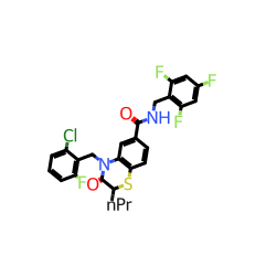 CCCC1Sc2ccc(C(=O)NCc3c(F)cc(F)cc3F)cc2N(Cc2c(F)cccc2Cl)C1=O